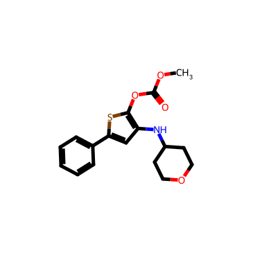 COC(=O)Oc1sc(-c2ccccc2)cc1NC1CCOCC1